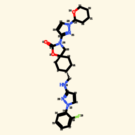 O=C1O[C@]2(CC[C@@H](CNc3ccn(-c4ccccc4F)n3)CC2)CN1c1ccn(C2CCCCO2)n1